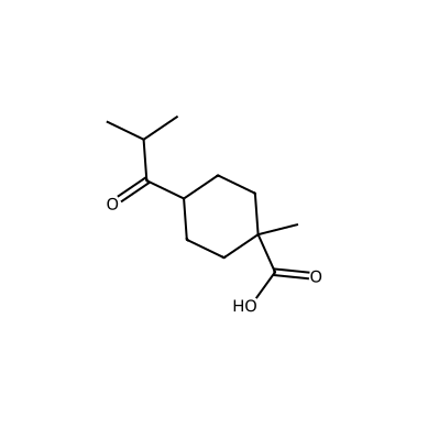 CC(C)C(=O)C1CCC(C)(C(=O)O)CC1